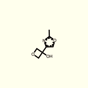 Cc1nc(C2(O)COC2)co1